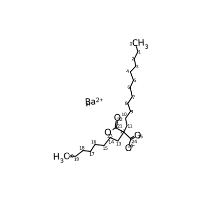 CCCCCCCCCCCCC(CCCCCCCC)(C(=O)[O-])C(=O)[O-].[Ba+2]